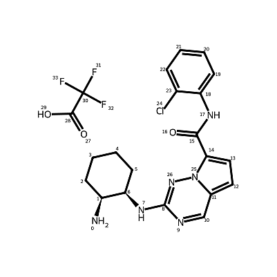 N[C@H]1CCCC[C@H]1Nc1ncc2ccc(C(=O)Nc3ccccc3Cl)n2n1.O=C(O)C(F)(F)F